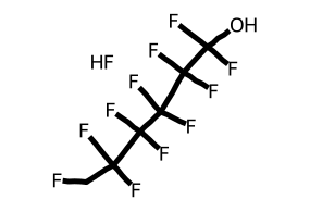 F.OC(F)(F)C(F)(F)C(F)(F)C(F)(F)C(F)(F)CF